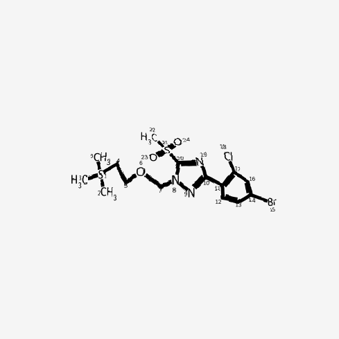 CS(C)(C)CCOCn1nc(-c2ccc(Br)cc2Cl)nc1S(C)(=O)=O